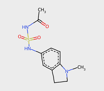 CC(=O)NS(=O)(=O)Nc1ccc2c(c1)CCN2C